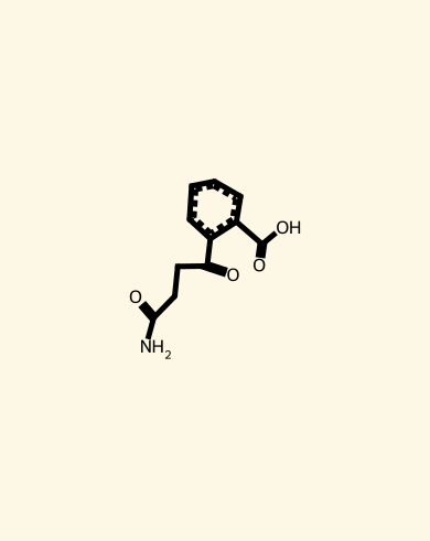 NC(=O)CCC(=O)c1ccccc1C(=O)O